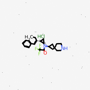 CCC(=Cc1ccccc1)[C@@H]1C[C@H]1N(C(=O)C(F)(F)F)C1CC2(CCNCC2)C1.Cl